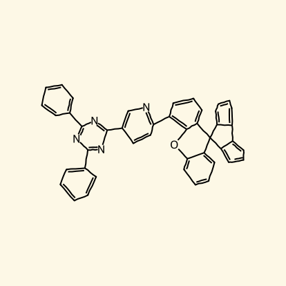 c1ccc(-c2nc(-c3ccccc3)nc(-c3ccc(-c4cccc5c4Oc4ccccc4C54c5ccccc5-c5ccccc54)nc3)n2)cc1